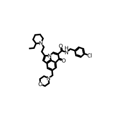 CCC1CCCCN1CCc1cc2cc(CN3CCOCC3)cc3c(=O)c(C(=O)NCc4ccc(Cl)cc4)cn1c23